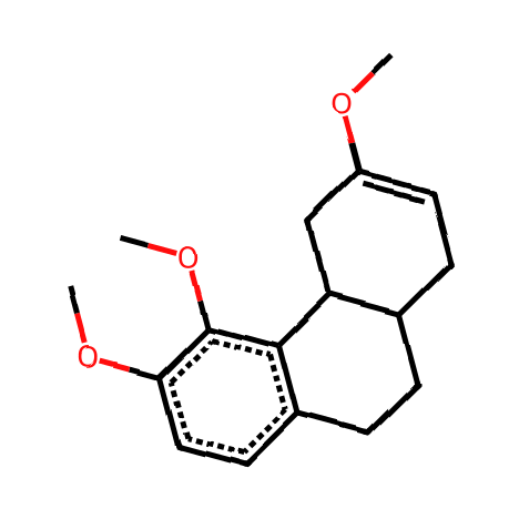 COC1=CCC2CCc3ccc(OC)c(OC)c3C2C1